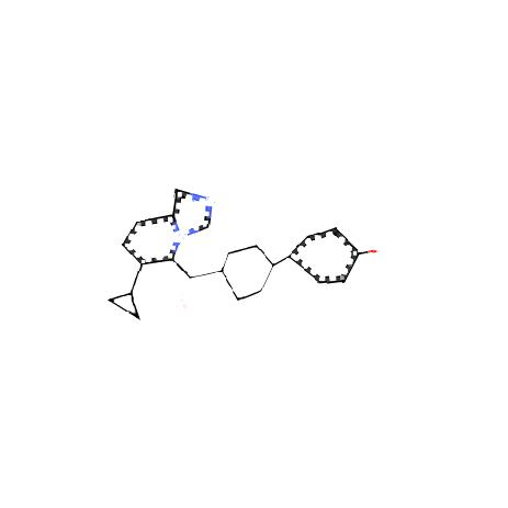 Oc1ccc(C2CCC([C@H](O)c3c(C4CC4)ccc4cncn34)CC2)cc1